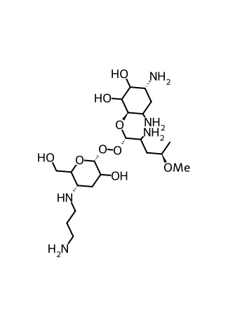 CO[C@H](C)CC(N)[C@H](OO[C@H]1OC(CO)[C@@H](NCCCN)CC1O)O[C@@H]1C(N)C[C@@H](N)C(O)C1O